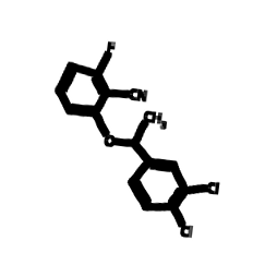 CC(Oc1cccc(F)c1C#N)c1ccc(Cl)c(Cl)c1